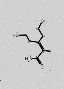 CC(C(N)=O)=C(CCO)CCO